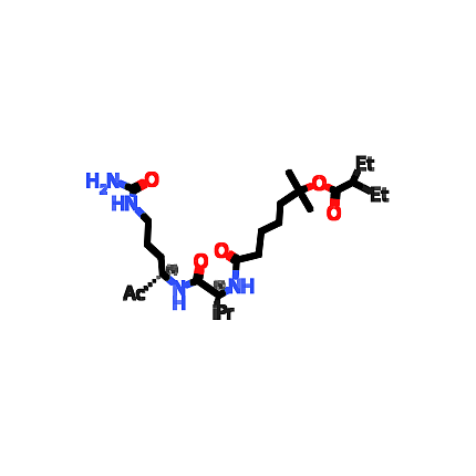 CCC(CC)C(=O)OC(C)(C)CCCCC(=O)N[C@H](C(=O)N[C@@H](CCCNC(N)=O)C(C)=O)C(C)C